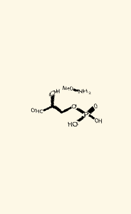 CON.O=CC(O)COP(=O)(O)O